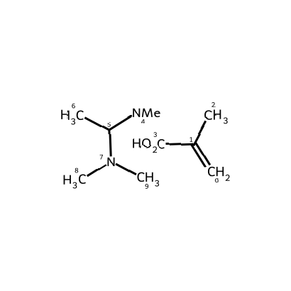 C=C(C)C(=O)O.CNC(C)N(C)C